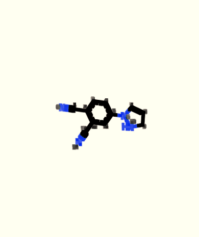 N#Cc1ccc(N2C=CCN2)cc1C#N